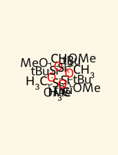 COC(C)[Si]1(C(C)(C)C)O[Si](C(C)OC)(C(C)(C)C)O[Si](C(C)OC)(C(C)(C)C)O[Si](C(C)OC)(C(C)(C)C)O1